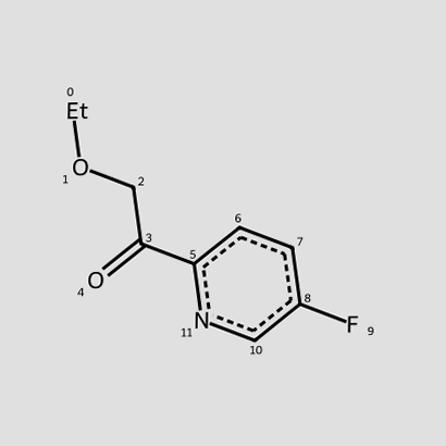 CCOCC(=O)c1ccc(F)cn1